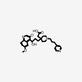 COc1ccc2ncc(Cl)c([C@@H](O)CCC3(CC(=O)O)CCN(CCCc4ccncc4)CC3)c2c1